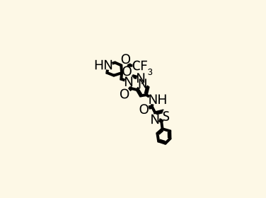 O=C(Nc1cc2c(=O)n(CC3(OC(=O)C(F)(F)F)CCNCC3)cnn2c1)c1csc(-c2ccccc2)n1